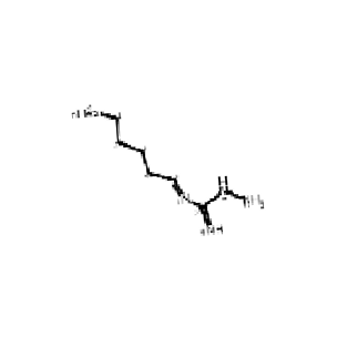 CCCCCCCCCCC=NC(=N)NN